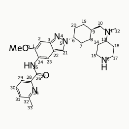 COc1cc2nn([C@H]3CC[C@H](CN(C)C4CCNCC4)CC3)cc2cc1NC(=O)c1cccc(C)n1